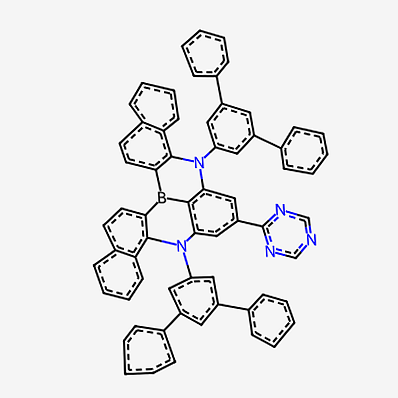 c1ccc(-c2cc(-c3ccccc3)cc(N3c4cc(-c5ncncn5)cc5c4B(c4ccc6ccccc6c43)c3ccc4ccccc4c3N5c3cc(-c4ccccc4)cc(-c4ccccc4)c3)c2)cc1